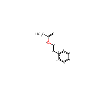 C=C(OCCc1ccccc1)C(=O)O